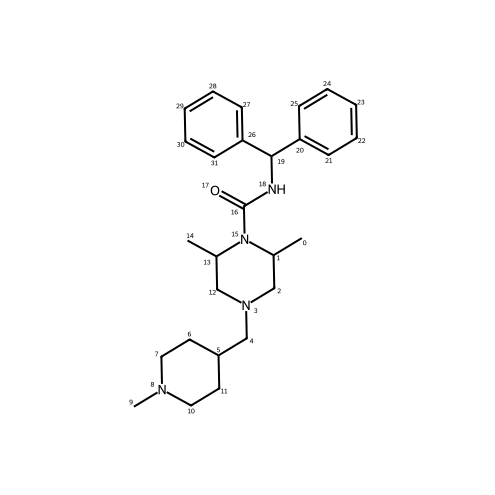 CC1CN(CC2CCN(C)CC2)CC(C)N1C(=O)NC(c1ccccc1)c1ccccc1